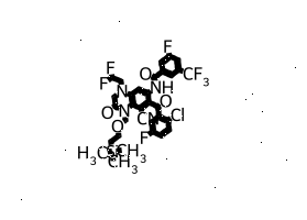 C[Si](C)(C)CCOCN1C(=O)CN(CC(F)F)c2cc(NC(=O)c3cc(F)cc(C(F)(F)F)c3)c(C(=O)c3cc(F)ccc3Cl)c(C#N)c21